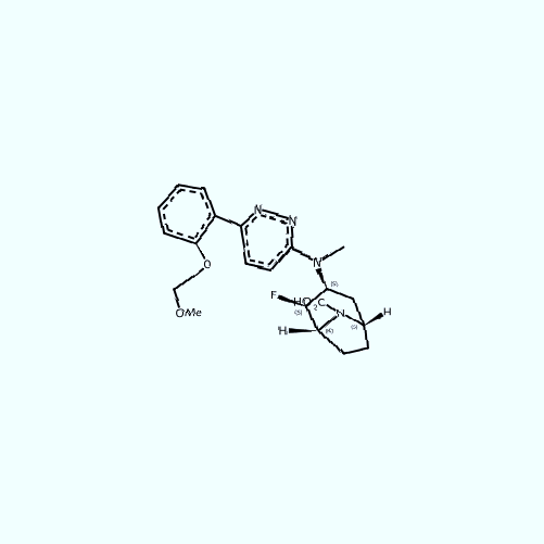 COCOc1ccccc1-c1ccc(N(C)[C@H]2C[C@@H]3CC[C@H]([C@H]2F)N3C(=O)O)nn1